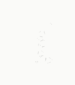 COc1ccncc1-c1nccc(C(=O)Nc2nc3cc(C4CCN(C)CC4)ccc3n2[C@H]2CC[C@@](C)(O)CC2)c1F